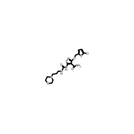 NC(=O)c1c(OCc2ccc(Cl)s2)nsc1NC(=O)NCCCN1CCOCC1